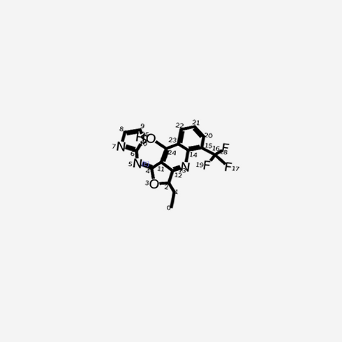 CCC1O/C(=N/c2nccs2)c2c1nc1c(C(F)(F)F)cccc1c2O